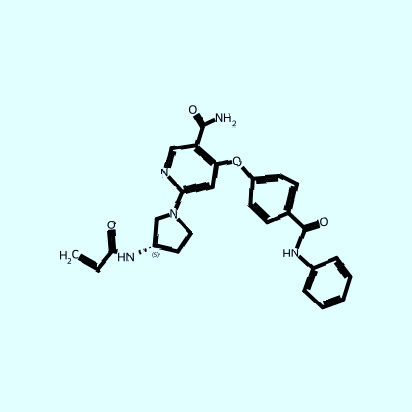 C=CC(=O)N[C@H]1CCN(c2cc(Oc3ccc(C(=O)Nc4ccccc4)cc3)c(C(N)=O)cn2)C1